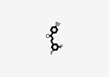 O=C(C=Cc1cc(F)cc(F)c1)c1ccc(Br)cc1